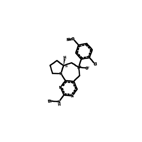 CCNc1ncc2c(n1)N1CCC[C@H]1C[N+]([O-])(c1cc(OC)ccc1Cl)C2